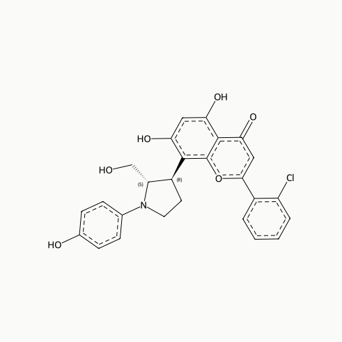 O=c1cc(-c2ccccc2Cl)oc2c([C@H]3CCN(c4ccc(O)cc4)[C@@H]3CO)c(O)cc(O)c12